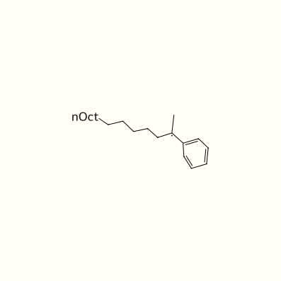 CCCCCCCCCCCCC[C](C)c1ccccc1